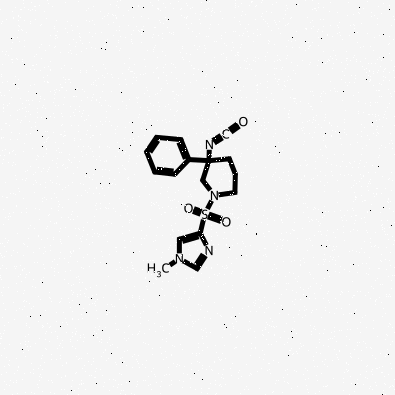 Cn1cnc(S(=O)(=O)N2CCCC(N=C=O)(c3ccccc3)C2)c1